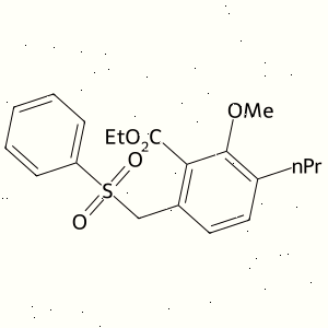 CCCc1ccc(CS(=O)(=O)c2ccccc2)c(C(=O)OCC)c1OC